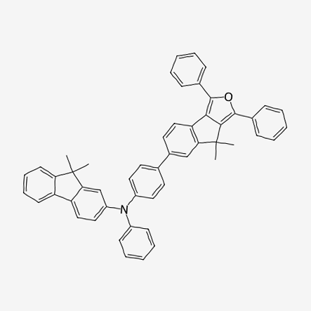 CC1(C)c2ccccc2-c2ccc(N(c3ccccc3)c3ccc(-c4ccc5c(c4)C(C)(C)c4c(-c6ccccc6)oc(-c6ccccc6)c4-5)cc3)cc21